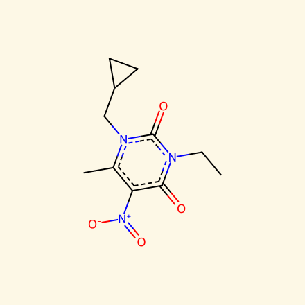 CCn1c(=O)c([N+](=O)[O-])c(C)n(CC2CC2)c1=O